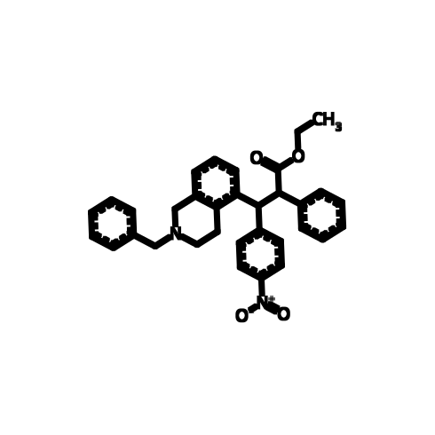 CCOC(=O)C(c1ccccc1)C(c1ccc([N+](=O)[O-])cc1)c1cccc2c1CCN(Cc1ccccc1)C2